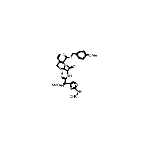 C=CC1=C(C(=O)OCc2ccc(OC)cc2)N2C(=O)C(NC(=O)/C(=N\OC)c3csc(NC=O)n3)[C@H]2SC1